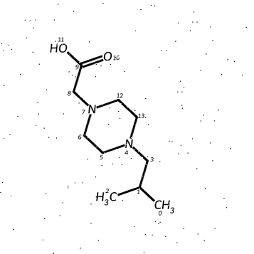 CC(C)CN1CCN(CC(=O)O)CC1